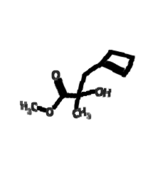 COC(=O)C(C)(O)CC1=CCC1